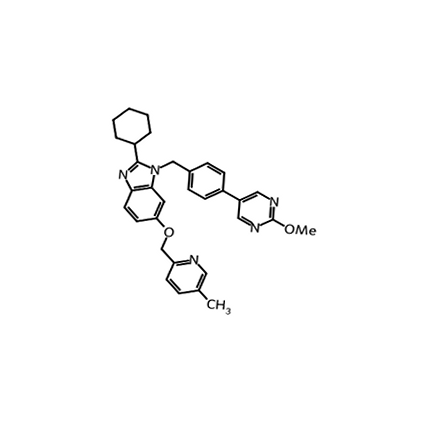 COc1ncc(-c2ccc(Cn3c(C4CCCCC4)nc4ccc(OCc5ccc(C)cn5)cc43)cc2)cn1